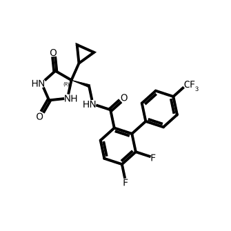 O=C1NC(=O)[C@](CNC(=O)c2ccc(F)c(F)c2-c2ccc(C(F)(F)F)cc2)(C2CC2)N1